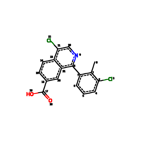 Cc1c(Cl)cccc1-c1ncc(Cl)c2ccc(C(=O)O)cc12